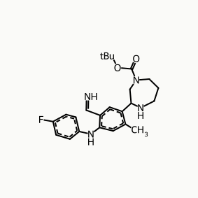 Cc1cc(Nc2ccc(F)cc2)c(C=N)cc1C1CN(C(=O)OC(C)(C)C)CCCN1